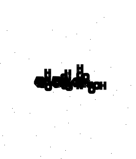 O=C(O)CNC(=O)c1ncc(C(=O)NS(=O)(=O)c2ccc(C(=O)NC3CCCCC3)cc2)cc1O